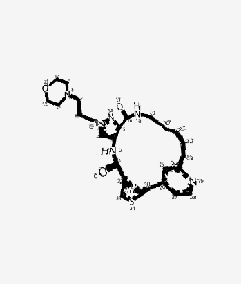 O=C1Nc2cn(CCN3CCOCC3)nc2C(=O)NCCCCCc2cc(ccn2)-c2nc1cs2